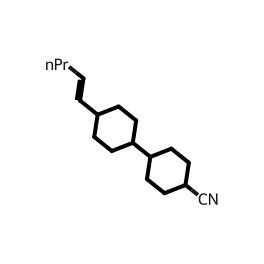 CCC/C=C/C1CCC(C2CCC(C#N)CC2)CC1